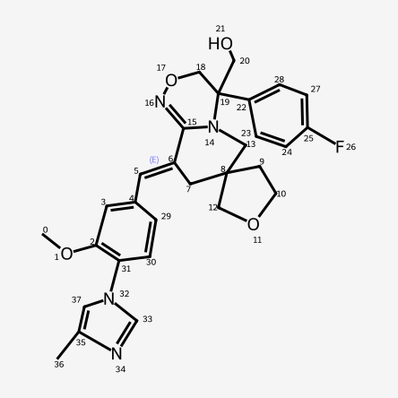 COc1cc(/C=C2\CC3(CCOC3)CN3C2=NOCC3(CO)c2ccc(F)cc2)ccc1-n1cnc(C)c1